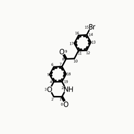 O=C1COc2ccc(C(=O)Cc3ccc(Br)cc3)cc2N1